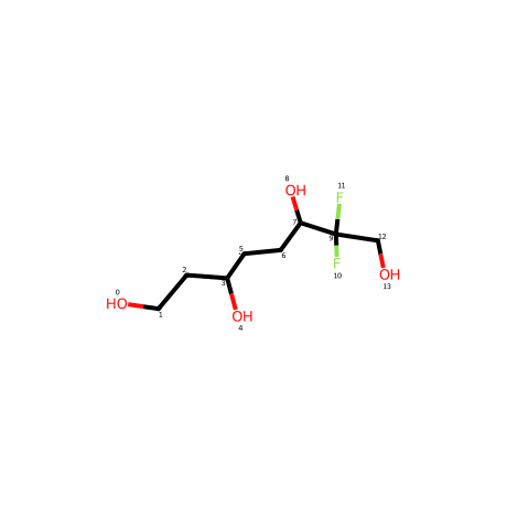 OCCC(O)[CH]CC(O)C(F)(F)CO